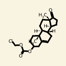 C[C@]12CCC(OC(=O)OCCl)CC1=CC[C@@H]1[C@@H]2CC[C@]2(C)C(=O)CC[C@@H]12